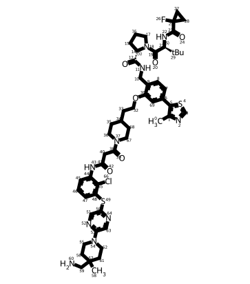 Cc1ncsc1-c1ccc(CNC(=O)[C@@H]2CCCN2C(=O)[C@@H](NC(=O)C2(F)CC2)C(C)(C)C)c(OCCC2CCN(C(=O)CC(=O)Nc3cccc(Sc4cnc(N5CCC(C)(CN)CC5)cn4)c3Cl)CC2)c1